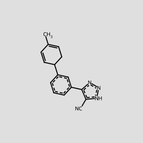 CC1=CCC(c2cccc(-c3nn[nH]c3C#N)c2)C=C1